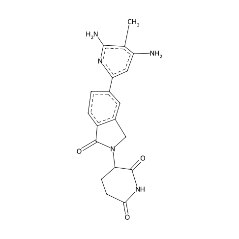 Cc1c(N)cc(-c2ccc3c(c2)CN(C2CCC(=O)NC2=O)C3=O)nc1N